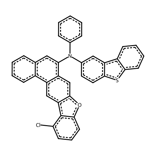 Clc1cccc2oc3cc4c(N(c5ccccc5)c5ccc6sc7ccccc7c6c5)cc5ccccc5c4cc3c12